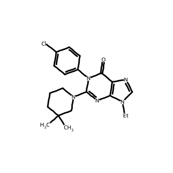 CCn1cnc2c(=O)n(-c3ccc(Cl)cc3)c(N3CCCC(C)(C)C3)nc21